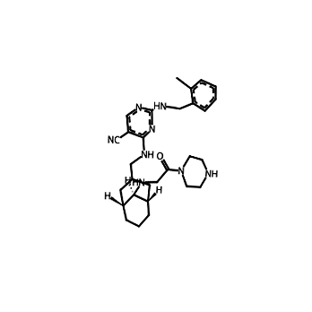 Cc1ccccc1CNc1ncc(C#N)c(NCC2C[C@H]3CCC[C@@H](C2)[C@@H]3NCC(=O)N2CCNCC2)n1